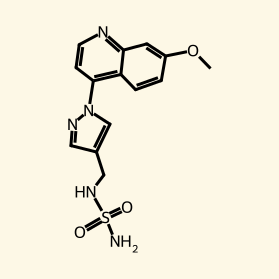 COc1ccc2c(-n3cc(CNS(N)(=O)=O)cn3)ccnc2c1